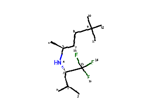 CC(C)[C@H](N[C@@H](C)CCC(C)(C)C)C(F)(F)F